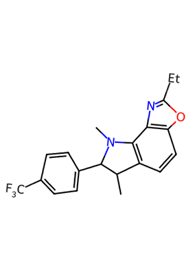 CCc1nc2c3c(ccc2o1)C(C)C(c1ccc(C(F)(F)F)cc1)N3C